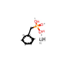 O=P(O)(O)Cc1ccccc1.[LiH]